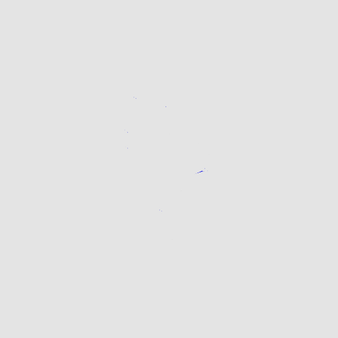 Cc1cc2nc(N)c3c(cnn3C)c2cc1C(=O)N(C)[C@@H]1COCc2nc(C(F)(F)F)ccc21